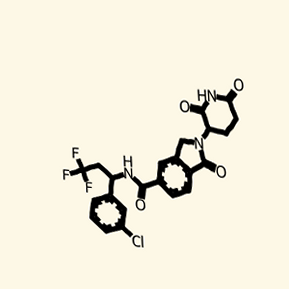 O=C1CCC(N2Cc3cc(C(=O)NC(CC(F)(F)F)c4cccc(Cl)c4)ccc3C2=O)C(=O)N1